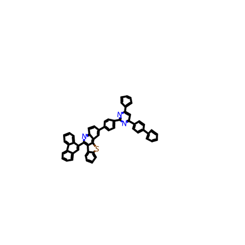 c1ccc(-c2ccc(-c3cc(-c4ccccc4)nc(-c4ccc(-c5ccc6nc(-c7cc8ccccc8c8ccccc78)c7c8ccccc8sc7c6c5)cc4)n3)cc2)cc1